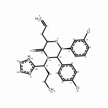 C=CCC1O[C@@H](c2cccc(Cl)c2)C(c2ccc(Cl)cc2)N([C@@H](CCC)c2nnn[nH]2)C1=O